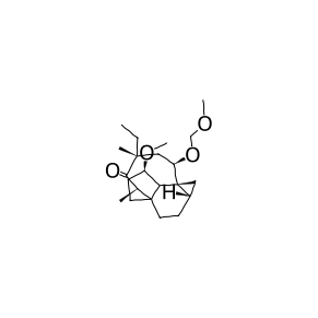 CC[C@]1(C)C[C@@H](OCOC)[C@]23C[C@@H]2CCC2(CC[C@@H](OC)C23)[C@@H](C)C1=O